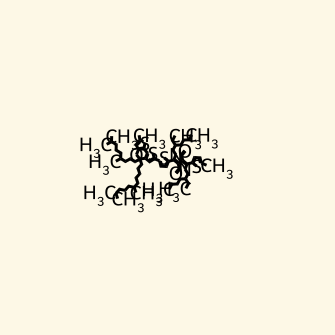 CCCCC(CC)CN1C(=O)C2=C(c3ccc(-c4cc5c(s4)-c4sc(C)cc4OC5(CCCCCC(C)CCCC(C)C)CCCC(C)CCCC(C)C)s3)N(CC(CC)CCCC)C(=O)C2=C1c1ccc(C)s1